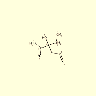 [2H]P(B)C(O)(CP=S)[SiH2]C